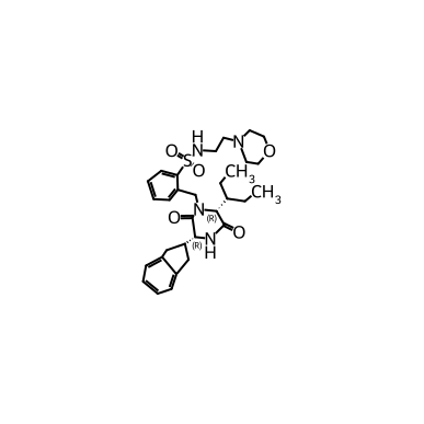 CCC(CC)[C@@H]1C(=O)N[C@H](C2Cc3ccccc3C2)C(=O)N1Cc1ccccc1S(=O)(=O)NCCN1CCOCC1